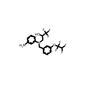 Nc1cccc(N(Cc2cccc(OC(F)(F)C(F)F)c2)CC(O)C(F)(F)F)c1